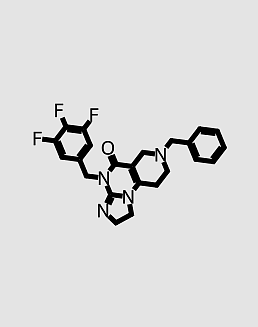 O=C1C2=C(CCN(Cc3ccccc3)C2)N2CCN=C2N1Cc1cc(F)c(F)c(F)c1